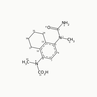 CN(C(N)=O)c1ccc(N(C)C(=O)O)c2c1CCCC2